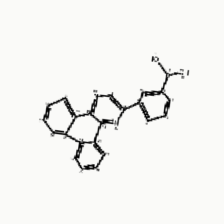 OB(O)c1cccc(-c2cnc3c4ccccc4c4ccccc4c3n2)c1